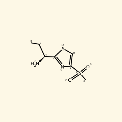 CC[C@H](N)c1nc(S(C)(=O)=O)cs1